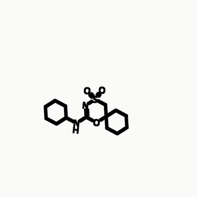 O=S1(=O)CC2(CCCCC2)OC(NC2CCCCC2)=N1